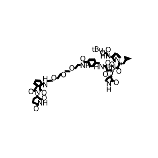 CC(C)(C)OC(=O)Nc1cccn([C@@H](CC2CC2)C(=O)N[C@@H](C[C@@H]2CCNC2=O)C(=O)C(=O)NCc2ccc(C(=O)NCCOCCOCCOCCNc3cccc4c3C(=O)N(C3CCC(=O)NC3=O)C4=O)cc2)c1=O